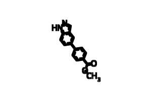 COC(=O)c1ccc(-c2ccc3[nH]ncc3c2)cc1